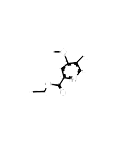 CCOC(=O)c1cc(OC)c(C)cn1